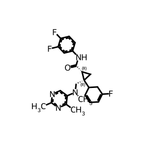 Cc1ncc(N(C)C[C@@]2(C3C=CC=C(F)C3)C[C@H]2C(=O)Nc2ccc(F)c(F)c2)c(C)n1